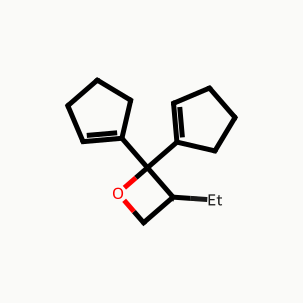 CC[C]1COC1(C1=CCCC1)C1=CCCC1